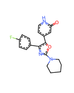 O=c1cc(-c2oc(N3CCCCC3)nc2-c2ccc(F)cc2)cc[nH]1